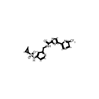 O=C(NCc1cc(NS(=O)(=O)C2CC2)ccn1)c1ncc(-c2cncc(C(F)(F)F)n2)s1